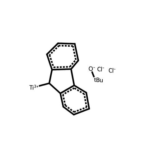 CC(C)(C)[O-].[Cl-].[Cl-].[Ti+3][CH]1c2ccccc2-c2ccccc21